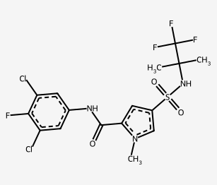 Cn1cc(S(=O)(=O)NC(C)(C)C(F)(F)F)cc1C(=O)Nc1cc(Cl)c(F)c(Cl)c1